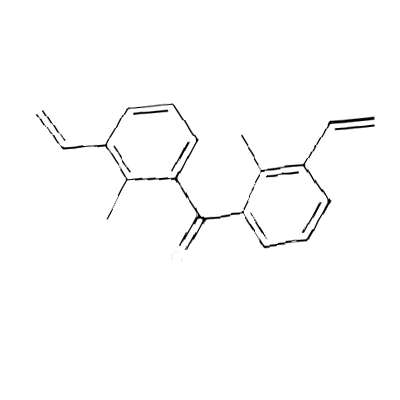 C=Cc1cccc(C(=O)c2cccc(C=C)c2C)c1C